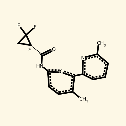 Cc1cccc(-c2cc(NC(=O)[C@@H]3CC3(F)F)ccc2C)n1